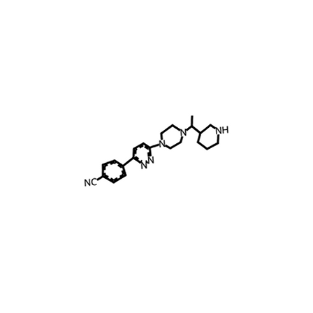 CC(C1CCCNC1)N1CCN(c2ccc(-c3ccc(C#N)cc3)nn2)CC1